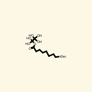 CCCCCCCCCCCCCCCCCC(=O)OC(O)(O)C(O)(O)O